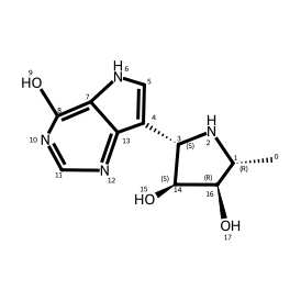 C[C@H]1N[C@@H](c2c[nH]c3c(O)ncnc23)[C@H](O)[C@@H]1O